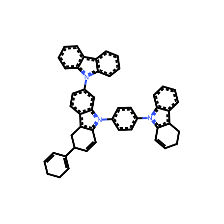 C1=CC(C2C=Cc3c(c4ccc(-n5c6ccccc6c6ccccc65)cc4n3-c3ccc(-n4c5c(c6ccccc64)CCC=C5)cc3)C2)=CCC1